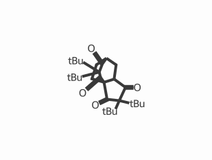 CC(C)(C)C1(C(C)(C)C)C(=O)C2CCC3(C1=O)C(=O)C(C(C)(C)C)(C(C)(C)C)C(=O)C3C2